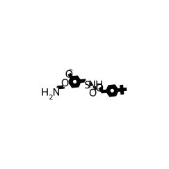 COc1cc(CSNC(=O)OCc2ccc(C(C)(C)C)cc2)ccc1OCCN